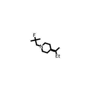 CCC(C)=C1CCN(CC(C)(C)F)CC1